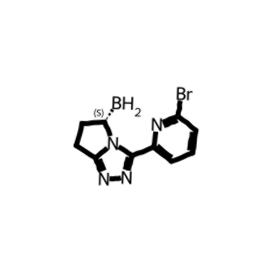 B[C@H]1CCc2nnc(-c3cccc(Br)n3)n21